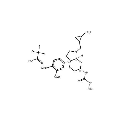 CCCCNC(=S)N[C@@H]1CC[C@@]2(c3ccc(OC)c(OC)c3)CCN(CC3CC3C(=O)O)[C@H]2C1.O=C(O)C(F)(F)F